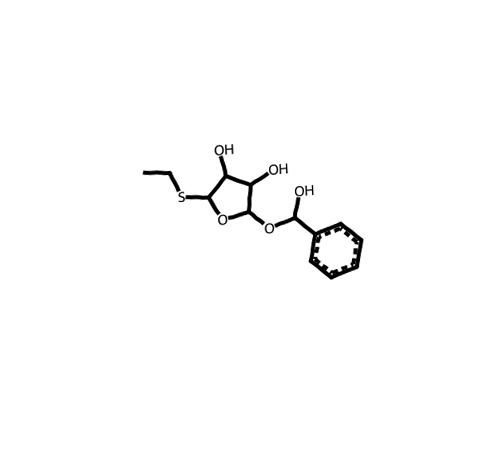 CCSC1OC(OC(O)c2ccccc2)C(O)C1O